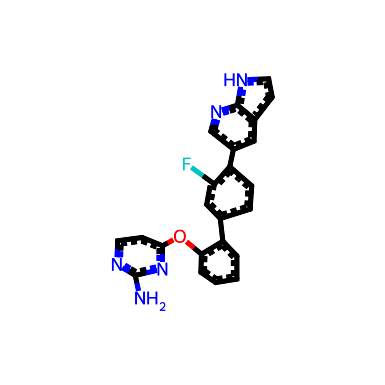 Nc1nccc(Oc2ccccc2-c2ccc(-c3cnc4[nH]ccc4c3)c(F)c2)n1